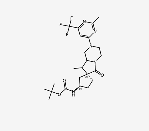 Cc1nc(N2CCN3C(=O)[C@]4(CC[C@@H](NC(=O)OC(C)(C)C)C4)C(C)C3C2)cc(C(F)(F)F)n1